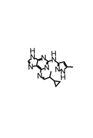 Cc1cc(Nc2nc(/N=C\C(C)C3CC3)c3nc[nH]c3n2)n[nH]1